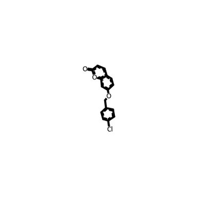 O=c1ccc2ccc(OCc3ccc(Cl)cc3)cc2o1